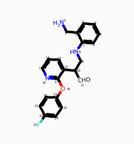 NCc1ccccc1NCC(C=O)c1cccnc1Oc1ccc(F)cc1